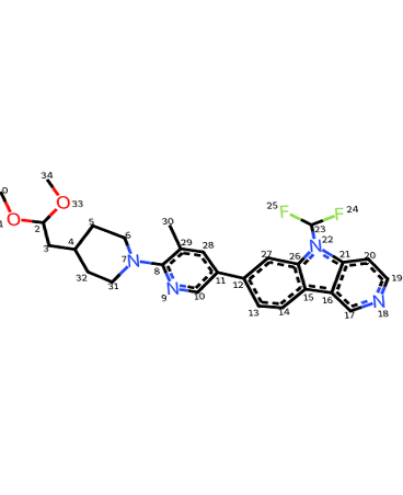 COC(CC1CCN(c2ncc(-c3ccc4c5cnccc5n(C(F)F)c4c3)cc2C)CC1)OC